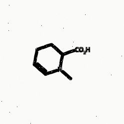 CN1C=CCCC1C(=O)O